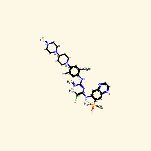 C=N/C(=N\C(Nc1cc2nccnc2cc1P(C)(C)=O)=C(/C)Cl)Nc1cc(CC)c(N2CCC(N3CCN(C)CC3)CC2)cc1OC